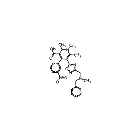 CC1=C(c2nc(CN(C)Cc3ccccc3)no2)C(c2cccc([N+](=O)[O-])c2)=C(C(=O)O)C(C)N1C